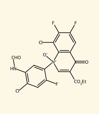 CCOC(=O)C1=C[N+]([O-])(c2cc(NC=O)c(Cl)cc2F)c2c(cc(F)c(F)c2Cl)C1=O